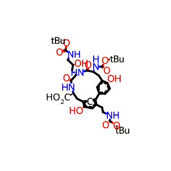 CC(C)(C)OC(=O)NCCc1cc(O)c2cc1-c1ccc(O)c(c1)C[C@H](NC(=O)OC(C)(C)C)C(=O)N[C@@H](C[C@H](O)CNC(=O)OC(C)(C)C)C(=O)N[C@H](C(=O)O)C2